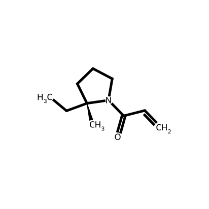 C=CC(=O)N1CCC[C@@]1(C)CC